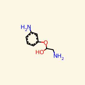 NCC(O)Oc1cccc(N)c1